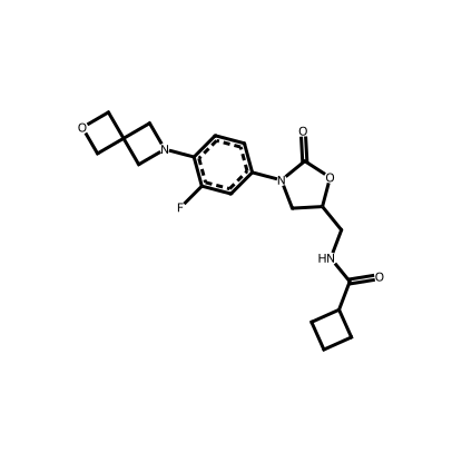 O=C(NCC1CN(c2ccc(N3CC4(COC4)C3)c(F)c2)C(=O)O1)C1CCC1